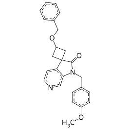 COc1ccc(CN2C(=O)C3(CC(OCc4ccccc4)C3)c3ccncc32)cc1